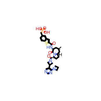 C[C@H]1C[C@H]2CC[C@@H](C(=O)N3CC(c4cncnc4N4CCC4)C3)N2C(=O)[C@@H](NC(=O)c2cc3cc(CP(=O)(O)O)ccc3s2)C1